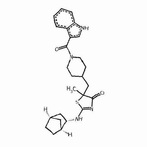 CC1(CC2CCN(C(=O)c3c[nH]c4ccccc34)CC2)SC(N[C@H]2C[C@@H]3CC[C@H]2C3)=NC1=O